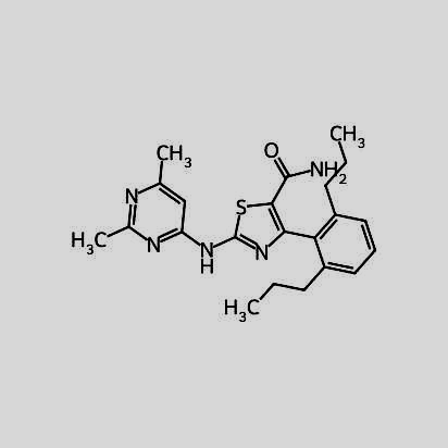 CCCc1cccc(CCC)c1-c1nc(Nc2cc(C)nc(C)n2)sc1C(N)=O